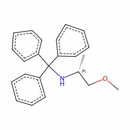 COC[C@@H](C)NC(c1ccccc1)(c1ccccc1)c1ccccc1